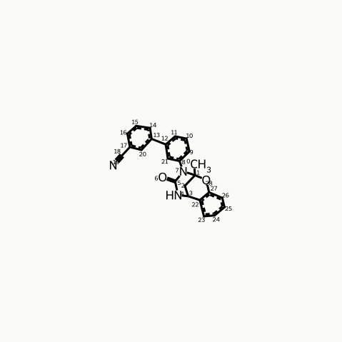 CC12CC(NC(=O)N1c1cccc(-c3cccc(C#N)c3)c1)c1ccccc1O2